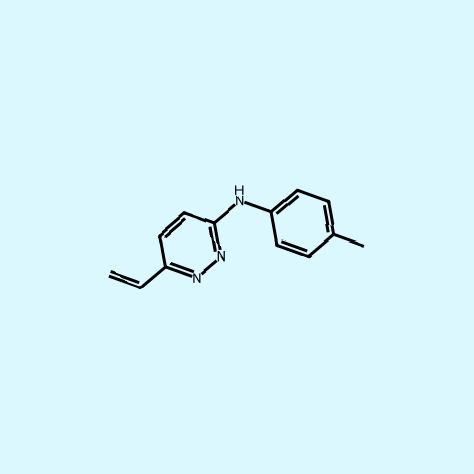 C=Cc1ccc(Nc2ccc(C)cc2)nn1